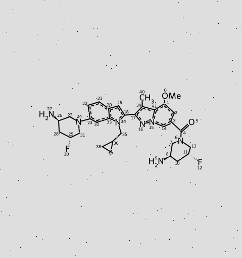 COc1cc(C(=O)N2C[C@H](N)C[C@@H](F)C2)cn2nc(-c3cc4ccc(N5C[C@H](N)C[C@@H](F)C5)cc4n3CC3CC3)c(C)c12